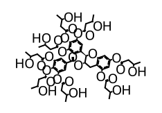 CC(O)CC(=O)Oc1cc(OC(=O)CC(C)O)c2c(c1)O[C@H](c1cc(OC(=O)CC(C)O)c(OC(=O)CC(C)O)c(OC(=O)CC(C)O)c1)[C@H](OC(=O)c1cc(OC(=O)CC(C)O)c(OC(=O)CC(C)O)c(OC(=O)CC(C)O)c1)C2